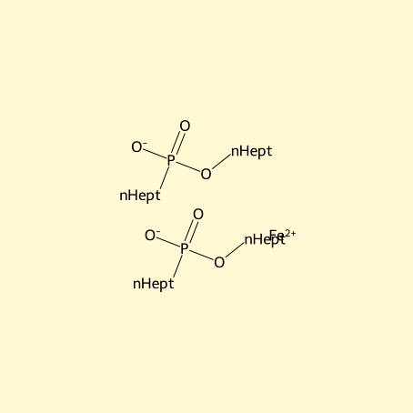 CCCCCCCOP(=O)([O-])CCCCCCC.CCCCCCCOP(=O)([O-])CCCCCCC.[Fe+2]